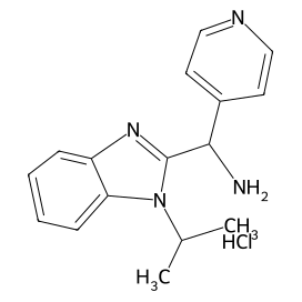 CC(C)n1c(C(N)c2ccncc2)nc2ccccc21.Cl